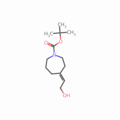 CC(C)(C)OC(=O)N1CCCC(=CCO)CC1